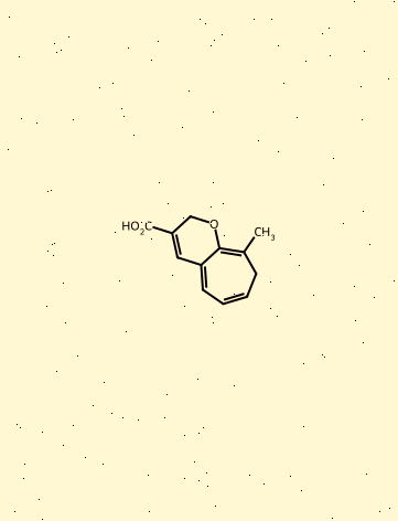 CC1=C2OCC(C(=O)O)=CC2=CC=CC1